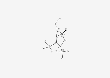 CC[C@H]1C2C(C(C)(C)C)N(C(C)(C)C)C[C@]21C